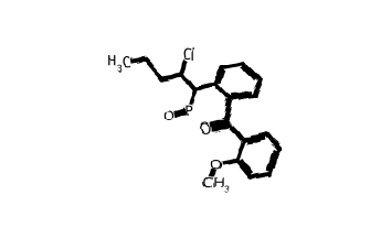 CCCC(Cl)C(P=O)c1ccccc1C(=O)c1ccccc1OC